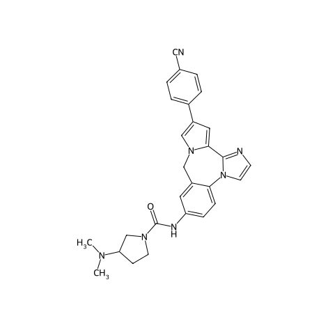 CN(C)C1CCN(C(=O)Nc2ccc3c(c2)Cn2cc(-c4ccc(C#N)cc4)cc2-c2nccn2-3)C1